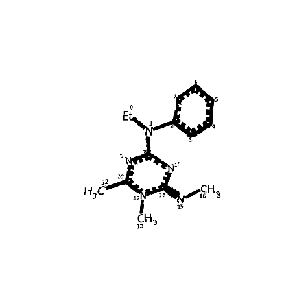 CCN(c1ccccc1)c1nc(C)n(C)c(=NC)n1